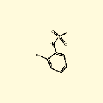 CS(=O)(=O)Nc1ccccc1Br